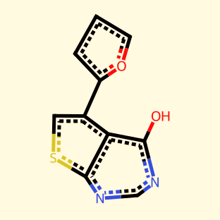 Oc1ncnc2scc(-c3ccco3)c12